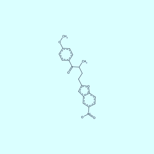 COc1ccc(C(=O)C(C)CCc2cc3cc([N+](=O)[O-])ccc3o2)cc1